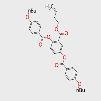 C=CCCOC(=O)c1cc(OC(=O)c2ccc(OCCCC)cc2)ccc1OC(=O)c1ccc(OCCCC)cc1